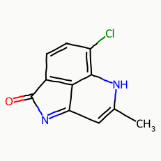 CC1=CC2=NC(=O)c3ccc(Cl)c(c32)N1